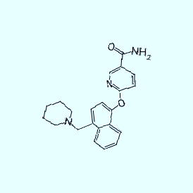 NC(=O)c1ccc(Oc2ccc(CN3CCCCC3)c3ccccc23)nc1